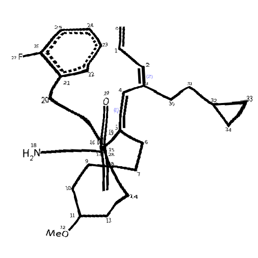 C=C/C=C(\C=C1/CCC2(CCC(OC)CC2)C12N=C(N)N(Cc1ccccc1F)C2=O)CCC1CC1